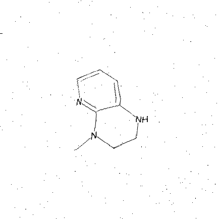 CN1CCNc2cccnc21